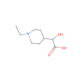 CCN1CCC(C(O)C(=O)O)CC1